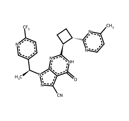 Cc1ccnc([C@H]2CC[C@@H]2c2nc3c(c(C#N)nn3[C@@H](C)c3ccc(C(F)(F)F)nc3)c(=O)[nH]2)n1